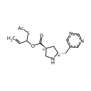 C=CC(OC(=O)[C@@H]1CN[C@@H](Cc2cncnc2)C1)SC(C)=O